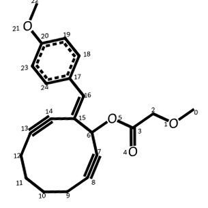 COCC(=O)OC1C#CCCCCC#C/C1=C\c1ccc(OC)cc1